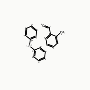 Cc1ccccc1C=O.c1ccc(Nc2ccccc2)cc1